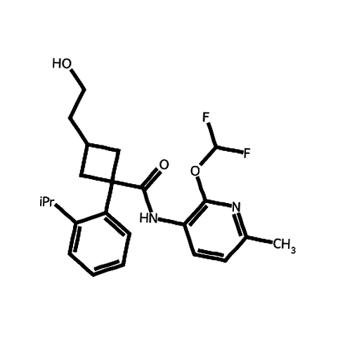 Cc1ccc(NC(=O)C2(c3ccccc3C(C)C)CC(CCO)C2)c(OC(F)F)n1